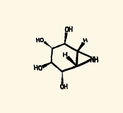 O[C@H]1[C@H](O)[C@@H](O)[C@@H]2N[C@@H]2[C@@H]1O